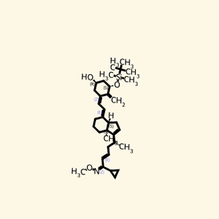 C=C1/C(=C\C=C2/CCC[C@]3(C)C([C@H](C)C/C=C/C(=N\OC)C4CC4)=CC[C@@H]23)C[C@@H](O)C[C@@H]1O[Si](C)(C)C(C)(C)C